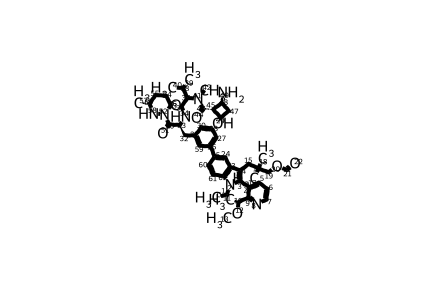 CCn1c(-c2cccnc2[C@H](C)OC)c(CC(C)(C)COC=O)c2cc(-c3cc(O)cc(C[C@H](NC(=O)C(C(C)C)N(C)C(=O)[C@H]4CC[C@@H]4N)C(=O)N4CCC[C@@H](C)N4)c3)ccc21